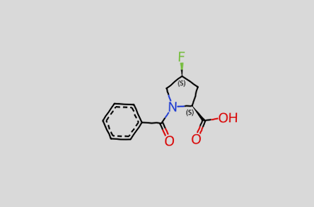 O=C(O)[C@@H]1C[C@H](F)CN1C(=O)c1ccccc1